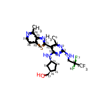 Cc1nc(NCC(F)(F)C(F)(F)F)nc(N[C@H]2CC[C@@H](CO)C2)c1-c1nc2c(C)nccc2s1